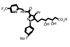 CC(C)c1c(C(=O)NCc2ccc(C(F)(F)F)cn2)nn(-c2ccc(F)cc2)c1CC[C@@H](O)C[C@@H](O)CC(=O)O.[Na]